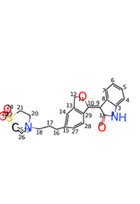 O=C1Nc2ccccc2C1=C1OCc2cc(CCCN3CCS(=O)(=O)CC3)ccc21